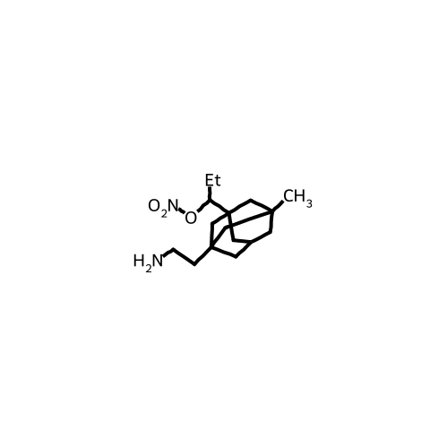 CCC(O[N+](=O)[O-])C12CC3CC(C)(CC(CCN)(C3)C1)C2